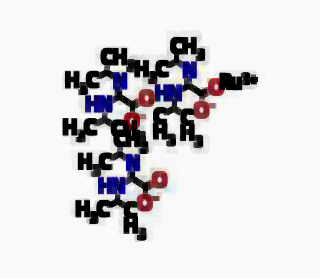 CC(C)N=C(NC(C)C)C(=O)[O-].CC(C)N=C(NC(C)C)C(=O)[O-].CC(C)N=C(NC(C)C)C(=O)[O-].[Ru+3]